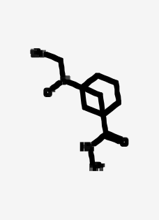 CCCNC(=O)C12CCCC([S+]([O-])CC(C)(C)C)(C1)C2